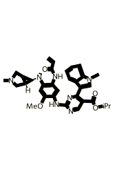 C=CC(=O)Nc1cc(Nc2ncc(C(=O)OC(C)C)c(-c3cn(C)c4ccccc34)n2)c(OC)cc1N(C)[C@H]1C2CN(C)C[C@@H]21